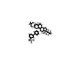 CC1(C)COC2(CCC3=C4C(CCC3(O)C2)C2CC[C@@](O)(C(F)(F)C(F)(F)F)[C@@]2(C)C[C@@H]4c2ccc(-c3cccc(S(C)(=O)=O)c3)cc2)OC1